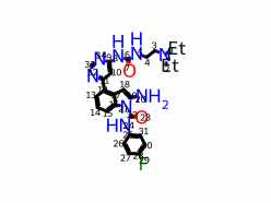 CCN(CC)CCNC(=O)Nc1cc(-c2cccc3c2cc(N)n3C(=O)Nc2ccc(F)cc2)ncn1